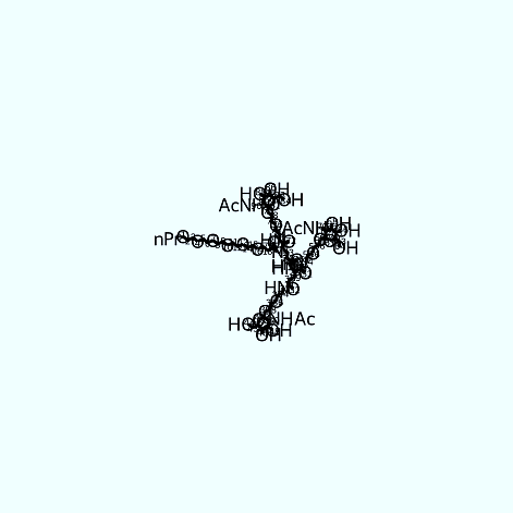 CCCOCCOCCOCCOCCOCCOCCC(=O)NC(CCC(=O)NC(CCC(=O)NCCOCCOC1OC(CO)C(O)C(O)C1NC(C)=O)C(=O)NCCOCCOC1OC(CO)C(O)C(O)C1NC(C)=O)C(=O)NCCOCCOC1OC(CO)C(O)C(O)C1NC(C)=O